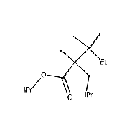 CCC(C)(C)C(C)(CC(C)C)C(=O)OC(C)C